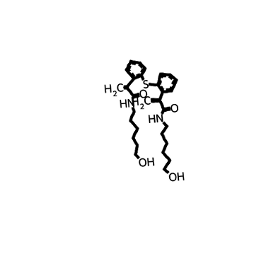 C=C(C(=O)NCCCCCCO)c1ccccc1Sc1ccccc1C(=C)C(=O)NCCCCCCO